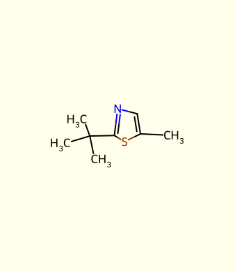 Cc1cnc(C(C)(C)C)s1